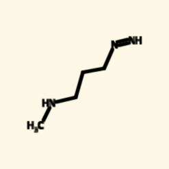 CNCCCN=N